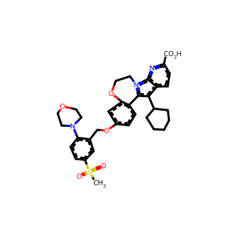 CS(=O)(=O)c1ccc(N2CCOCC2)c(COc2ccc3c(c2)OCCn2c-3c(C3CCCCC3)c3ccc(C(=O)O)nc32)c1